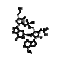 Nc1nc2c(nnn2[C@@H]2S[C@H](CCO)[C@@H](F)[C@H]2OP(=O)(S)OC[C@H]2O[C@@H](n3ccc4c(N)ncnc43)[C@@H](F)[C@@H]2O[PH](=O)S)c(=O)[nH]1